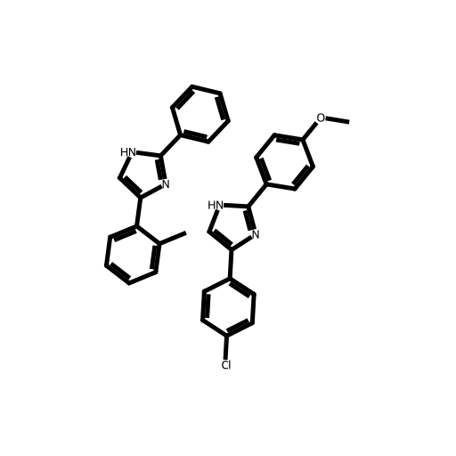 COc1ccc(-c2nc(-c3ccc(Cl)cc3)c[nH]2)cc1.Cc1ccccc1-c1c[nH]c(-c2ccccc2)n1